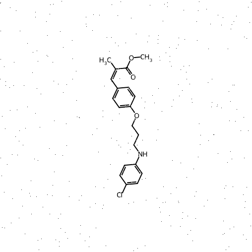 COC(=O)C(C)=Cc1ccc(OCCCNc2ccc(Cl)cc2)cc1